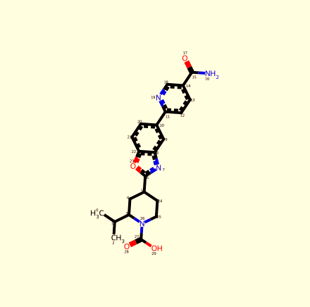 CC(C)C1CC(c2nc3cc(-c4ccc(C(N)=O)cn4)ccc3o2)CCN1C(=O)O